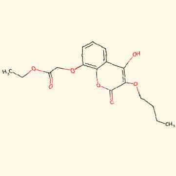 CCCCOc1c(O)c2cccc(OCC(=O)OCC)c2oc1=O